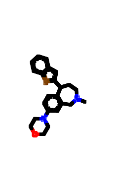 CN1CCC(c2cc3ccccc3s2)c2ccc(N3CCOCC3)cc2C1